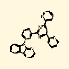 c1ccc(-c2nc(-c3cccc(-n4c5ccccc5c5cccnc54)c3)nc(-c3ccccn3)n2)nc1